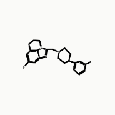 Fc1cccc(C2CCN(Cc3nc4cc(F)cc5c4n3CCC5)CC2)c1